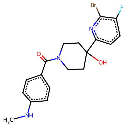 CNc1ccc(C(=O)N2CCC(O)(c3ccc(F)c(Br)n3)CC2)cc1